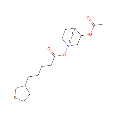 CC(=O)OC1C[N+]2(OC(=O)CCCCC3CCSS3)CCC1CC2